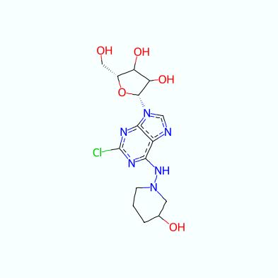 OC[C@H]1O[C@@H](n2cnc3c(NN4CCCC(O)C4)nc(Cl)nc32)C(O)C1O